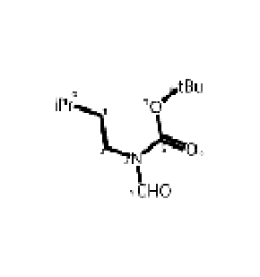 CC(C)CCN(C=O)C(=O)OC(C)(C)C